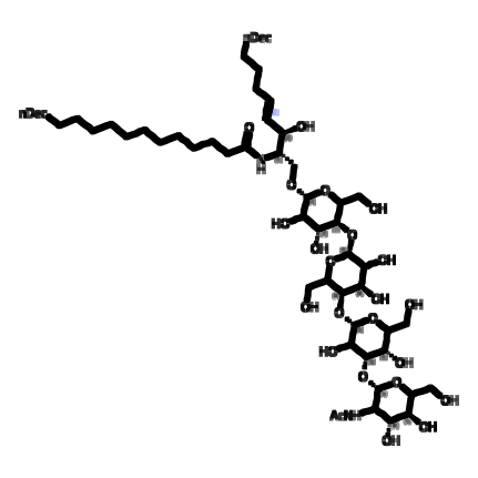 CCCCCCCCCCCCC/C=C/[C@@H](O)[C@H](CO[C@@H]1OC(CO)[C@@H](O[C@@H]2OC(CO)[C@H](O[C@@H]3OC(CO)[C@H](O)[C@H](O[C@@H]4OC(CO)[C@@H](O)[C@H](O)C4NC(C)=O)C3O)[C@H](O)C2O)[C@H](O)C1O)NC(=O)CCCCCCCCCCCCCCCCCCCCC